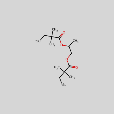 CC(COC(=O)C(C)(C)CC(C)(C)C)OC(=O)C(C)(C)CC(C)(C)C